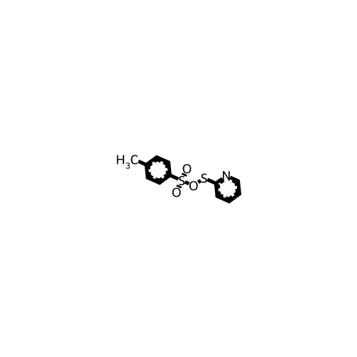 Cc1ccc(S(=O)(=O)OSc2ccccn2)cc1